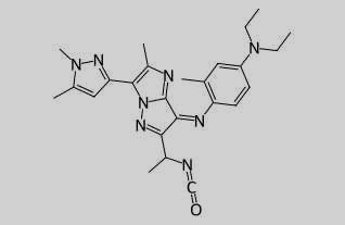 CCN(CC)c1ccc(/N=C2/C(C(C)N=C=O)=Nn3c2nc(C)c3-c2cc(C)n(C)n2)c(C)c1